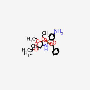 CCOC(OCC)C(CC(=O)OC(C)(C)C)NS(=O)(=O)c1ccc(N)cc1OCc1ccccc1